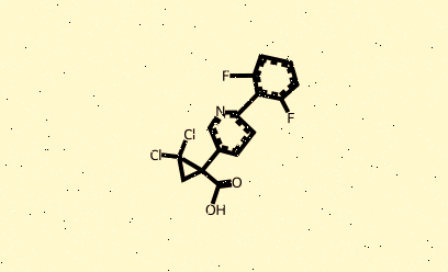 O=C(O)C1(c2ccc(-c3c(F)cccc3F)nc2)CC1(Cl)Cl